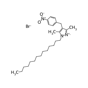 CCCCCCCCCCCCCCN1[N+]=C(C)C(Cc2ccc([N+](=O)[O-])cc2)=C1C.[Br-]